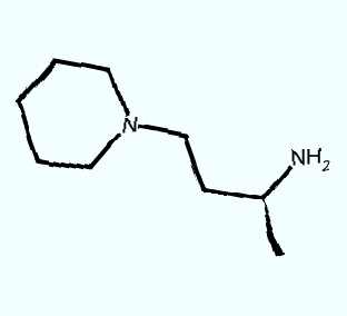 C[C@H](N)CCN1CCCCC1